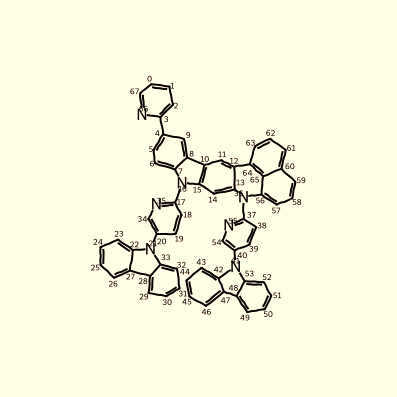 c1ccc(-c2ccc3c(c2)c2cc4c(cc2n3-c2ccc(-n3c5ccccc5c5ccccc53)cn2)N(c2ccc(-n3c5ccccc5c5ccccc53)cn2)c2cccc3cccc-4c23)nc1